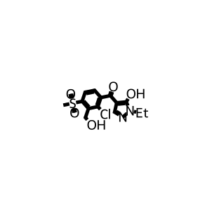 CCn1ncc(C(=O)c2ccc(S(C)(=O)=O)c(CO)c2Cl)c1O